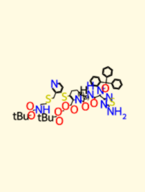 CC(C)(C)OC(=O)NCCSCc1cnccc1SC1=C(C(=O)OCOC(=O)C(C)(C)C)N2C(=O)[C@@H](NC(=O)C(=NOC(c3ccccc3)(c3ccccc3)c3ccccc3)c3nsc(N)n3)[C@H]2CC1